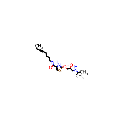 CCC#CCCCCNC(=O)c1csc(OCC(O)CNC(C)C)n1